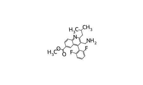 COC(=O)c1ccc2nc(CC(C)C)c(CN)c(-c3c(F)cccc3F)c2c1